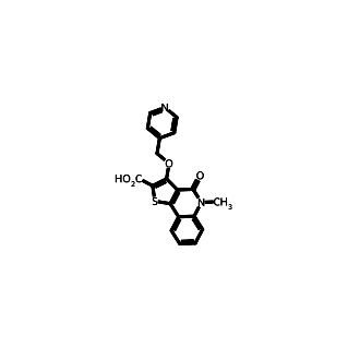 Cn1c(=O)c2c(OCc3ccncc3)c(C(=O)O)sc2c2ccccc21